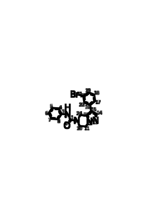 O=C(Nc1ccccc1)N1CCn2ncc(-c3cccc(Br)c3)c2C1